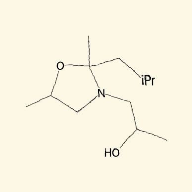 CC(C)CC1(C)OC(C)CN1CC(C)O